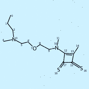 CCCN(C)CCOCCN(C)c1c(C)c(=S)c1=S